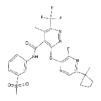 Cc1c(C(F)(F)F)nnc(Oc2ncc(C3(C)CCC3)nc2F)c1C(=O)Nc1cccc(S(C)(=O)=O)c1